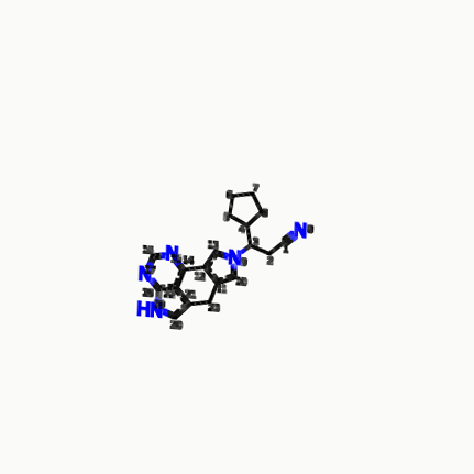 N#CCC(C1CCCC1)n1cc2c(c1)-c1ncnc3[nH]cc(c13)C2